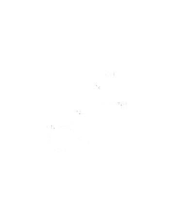 NC(=NO)c1ccc2cc[nH]c2n1